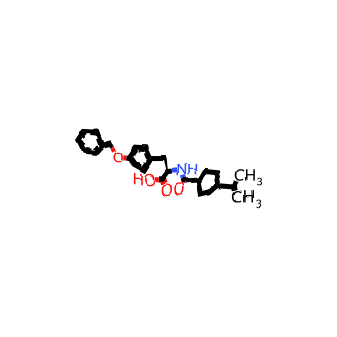 CC(C)C1CCC(C(=O)N[C@H](Cc2ccc(OCc3ccccc3)cc2)C(=O)O)CC1